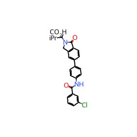 CC(C)C(C(=O)O)N1Cc2cc(-c3ccc(NC(=O)c4cccc(Cl)c4)cc3)ccc2C1=O